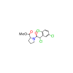 COC(=O)C1CCCN1C(=O)C(Cl)c1cc(Cl)ccc1Cl